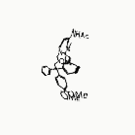 COC1(OC)C=CC(C(CC(O)Cn2ccc(NC(C)=O)nc2=O)(c2ccccc2)c2ccccc2)=CC1